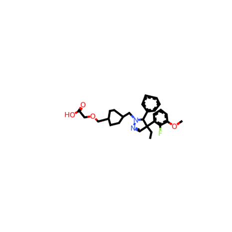 CCC1(c2cccc(OC)c2F)C=NN(CC2CCC(COCC(=O)O)CC2)C1c1ccccc1